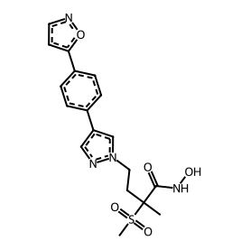 CC(CCn1cc(-c2ccc(-c3ccno3)cc2)cn1)(C(=O)NO)S(C)(=O)=O